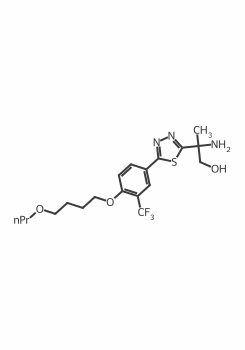 CCCOCCCCOc1ccc(-c2nnc(C(C)(N)CO)s2)cc1C(F)(F)F